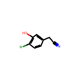 N#CCc1ccc(Br)c(O)c1